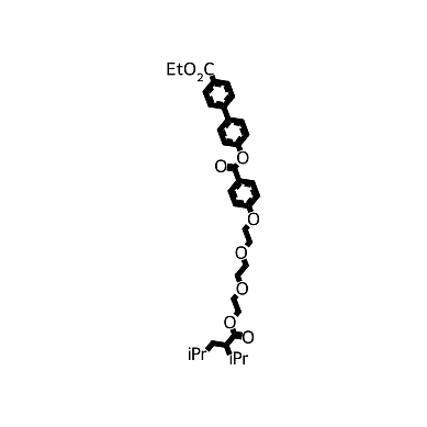 CCOC(=O)c1ccc(-c2ccc(OC(=O)c3ccc(OCCOCCOCCOC(=O)C(CC(C)C)C(C)C)cc3)cc2)cc1